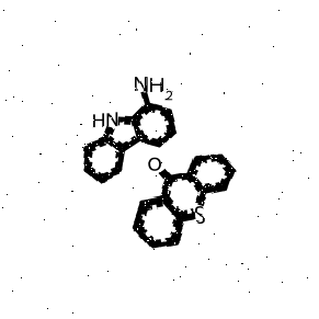 Nc1cccc2c1[nH]c1ccccc12.O=c1c2ccccc2sc2ccccc12